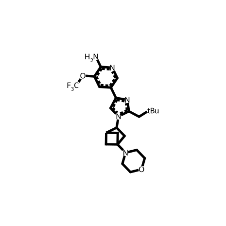 CC(C)(C)Cc1nc(-c2cnc(N)c(OC(F)(F)F)c2)cn1C1CC2(N3CCOCC3)CC1C2